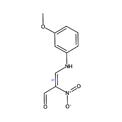 COc1cccc(N/C=C(/C=O)[N+](=O)[O-])c1